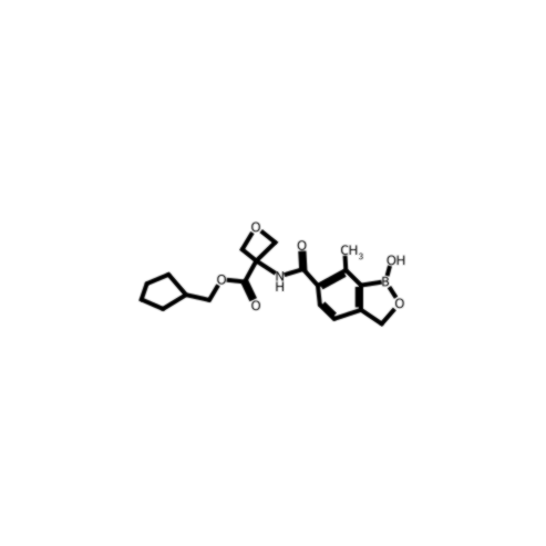 Cc1c(C(=O)NC2(C(=O)OCC3CCCC3)COC2)ccc2c1B(O)OC2